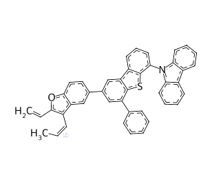 C=Cc1oc2ccc(-c3cc(-c4ccccc4)c4sc5c(-n6c7ccccc7c7ccccc76)cccc5c4c3)cc2c1/C=C\C